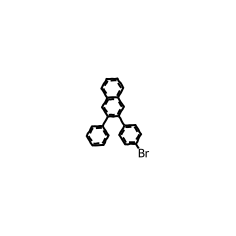 Brc1ccc(-c2cc3ccccc3cc2-c2ccccc2)cc1